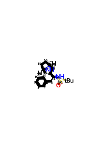 CC(C)(C)[S@+]([O-])N[C@@H](Cc1ccccc1)[C@@H]1C[C@H]2CC[C@@H](C1)N2